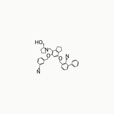 N#Cc1cccc(COc2cc(OCc3cccc(-c4ccccc4)c3C#N)c3c(c2CN2CCC[C@H]2CO)CCC3)c1